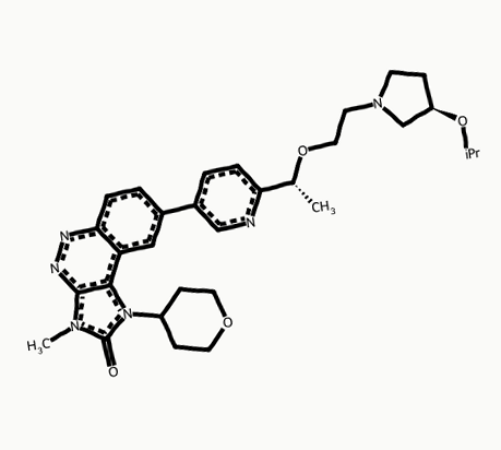 CC(C)O[C@@H]1CCN(CCO[C@H](C)c2ccc(-c3ccc4nnc5c(c4c3)n(C3CCOCC3)c(=O)n5C)cn2)C1